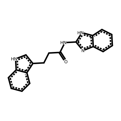 O=C(CCc1c[nH]c2ccccc12)Nc1nc2ccccc2[nH]1